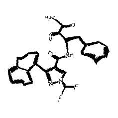 NC(=O)C(=O)C(Cc1ccccc1)NC(=O)c1cn(C(F)F)nc1-c1cccc2ccccc12